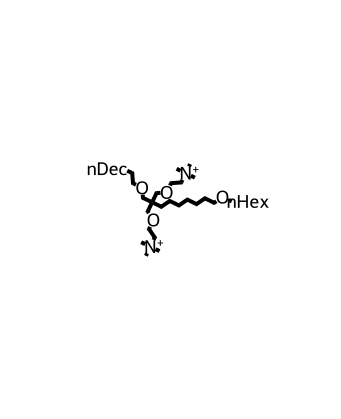 CCCCCCCCCCCCOCC(CCCCCCCOCCCCCC)(COCC[N+](C)(C)C)COCC[N+](C)(C)C